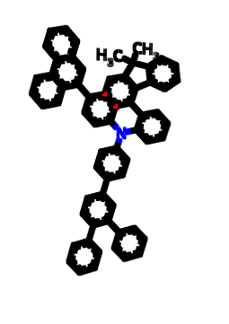 CC1(C)c2ccccc2-c2c(-c3ccccc3N(c3ccc(-c4ccc(-c5ccccc5)c(-c5ccccc5)c4)cc3)c3ccc(-c4cc5ccccc5c5ccccc45)cc3)cccc21